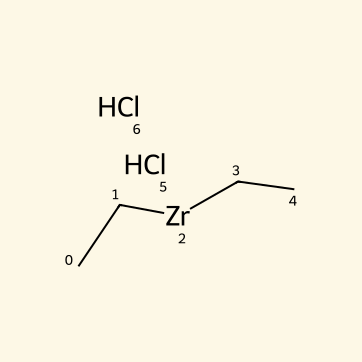 C[CH2][Zr][CH2]C.Cl.Cl